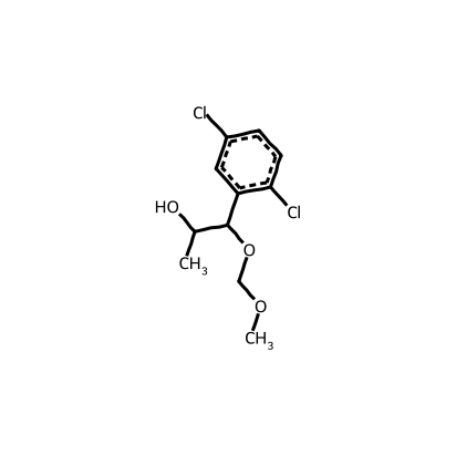 COCOC(c1cc(Cl)ccc1Cl)C(C)O